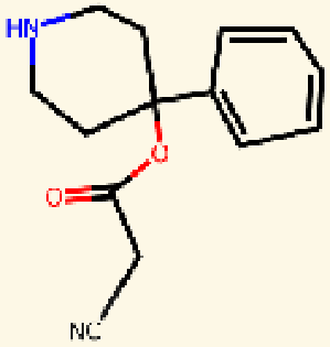 N#CCC(=O)OC1(c2ccccc2)CCNCC1